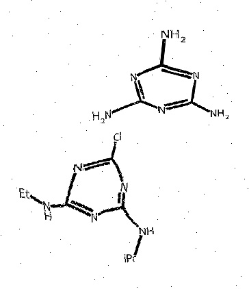 CCNc1nc(Cl)nc(NC(C)C)n1.Nc1nc(N)nc(N)n1